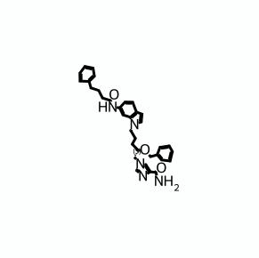 NC(=O)c1cn(C[C@H](CCCn2ccc3ccc(NC(=O)CCCc4ccccc4)cc32)OCc2ccccc2)cn1